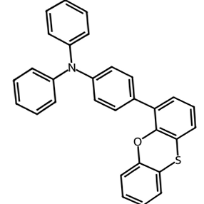 c1ccc(N(c2ccccc2)c2ccc(-c3cccc4c3Oc3ccccc3S4)cc2)cc1